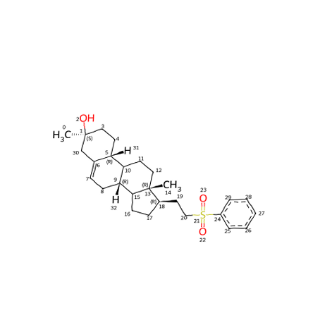 C[C@]1(O)CC[C@H]2C(=CC[C@@H]3C2CC[C@@]2(C)C3CC[C@@H]2CCS(=O)(=O)c2ccccc2)C1